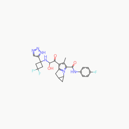 Cc1c(C(=O)C(O)NC2(c3cnn[nH]3)CC(F)(F)C2)c2n(c1C(=O)Nc1ccc(F)cc1)C1CC1C2